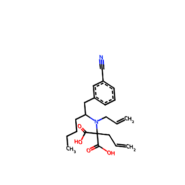 C=CCN(C(CCCC)Cc1cccc(C#N)c1)C(CC=C)(C(=O)O)C(=O)O